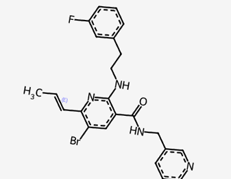 C/C=C/c1nc(NCCc2cccc(F)c2)c(C(=O)NCc2cccnc2)cc1Br